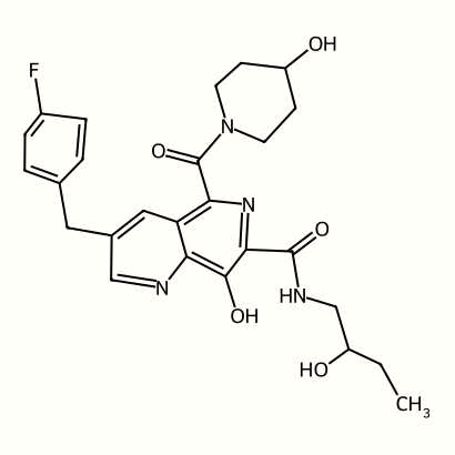 CCC(O)CNC(=O)c1nc(C(=O)N2CCC(O)CC2)c2cc(Cc3ccc(F)cc3)cnc2c1O